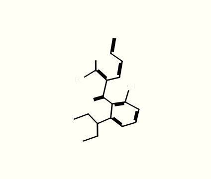 C=C/C=C\C(C(=O)c1c(O)cccc1C(CC)CC)=C(/C)O